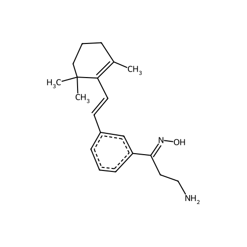 CC1=C(C=Cc2cccc(C(CCN)=NO)c2)C(C)(C)CCC1